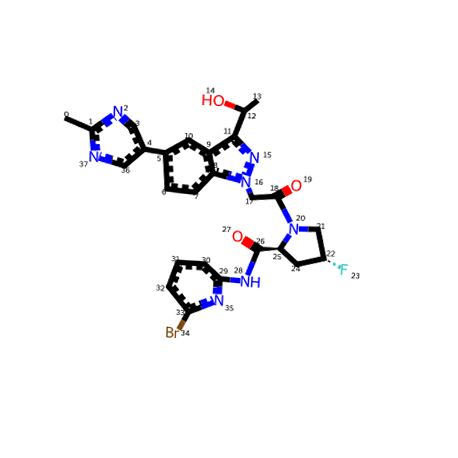 Cc1ncc(-c2ccc3c(c2)c(C(C)O)nn3CC(=O)N2C[C@H](F)C[C@H]2C(=O)Nc2cccc(Br)n2)cn1